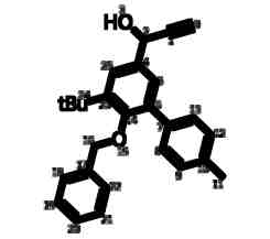 C#CC(O)c1cc(-c2ccc(C)cc2)c(OCc2ccccc2)c(C(C)(C)C)c1